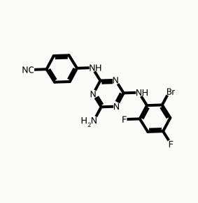 N#Cc1ccc(Nc2nc(N)nc(Nc3c(F)cc(F)cc3Br)n2)cc1